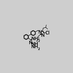 CCCCc1nc(Cl)c(CC(C)C)n1Cc1ccc(-c2ccccc2/C(N)=N/NN)cc1